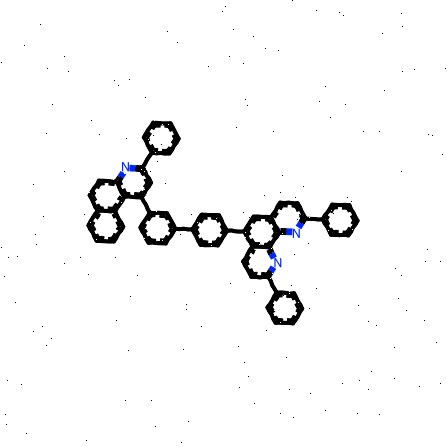 c1ccc(-c2cc(-c3cccc(-c4ccc(-c5cc6ccc(-c7ccccc7)nc6c6nc(-c7ccccc7)ccc56)cc4)c3)c3c(ccc4ccccc43)n2)cc1